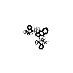 O=C(Nc1ccc(NC(=O)c2ccccc2[N+](=O)[O-])c2c1C(=O)c1ccccc1C2=O)c1ccccc1[N+](=O)[O-]